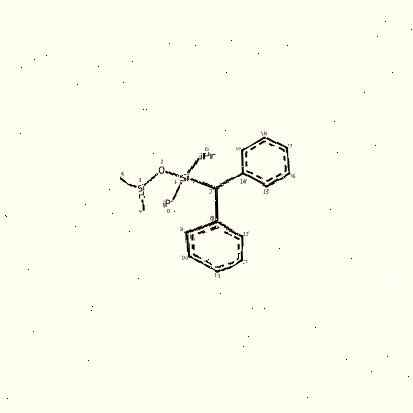 CC(C)[Si](O[SiH](C)C)(C(C)C)C(c1ccccc1)c1ccccc1